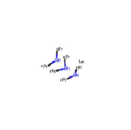 CCCNCCC.CCCNCCC.CCCNCCC.[La]